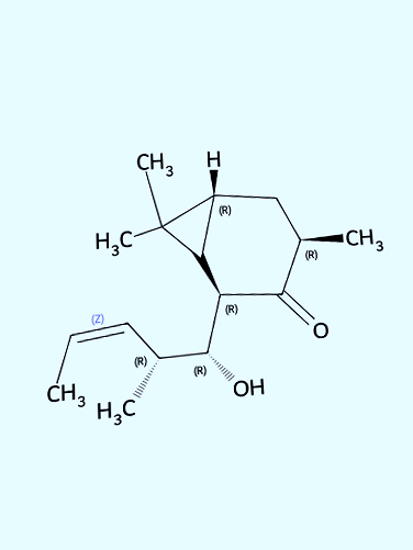 C/C=C\[C@@H](C)[C@@H](O)[C@@H]1C(=O)[C@H](C)C[C@@H]2C1C2(C)C